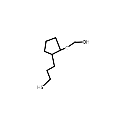 O[C]CC1CCCC1CCCS